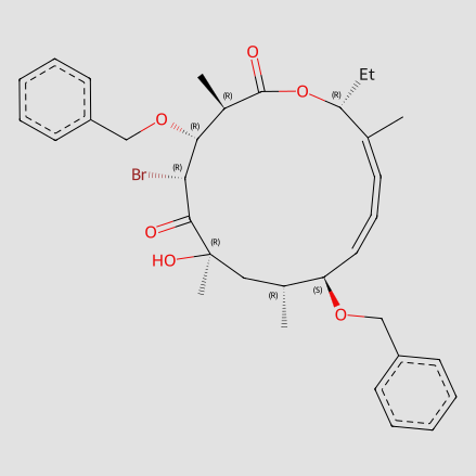 CC[C@H]1OC(=O)[C@H](C)[C@@H](OCc2ccccc2)[C@@H](Br)C(=O)[C@](C)(O)C[C@@H](C)[C@H](OCc2ccccc2)C=C=C=C1C